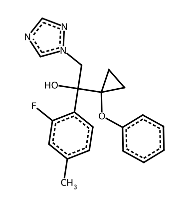 Cc1ccc(C(O)(Cn2cncn2)C2(Oc3ccccc3)CC2)c(F)c1